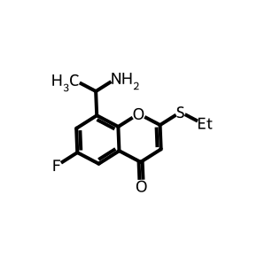 CCSc1cc(=O)c2cc(F)cc(C(C)N)c2o1